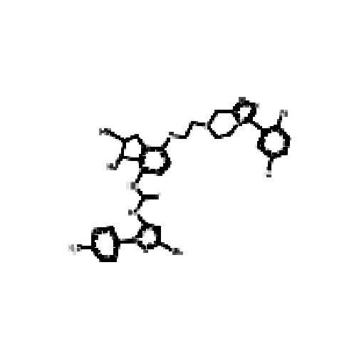 Cc1ccc(-n2nc(C(C)(C)C)cc2NC(=O)Nc2ccc(OCCN3CCn4c(nnc4-c4cc(Cl)ccc4O)C3)c3c2C(O)C(O)C3)cc1